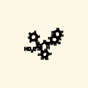 O=C(O)[C@H]1[C@H](c2ccccc2)[C@@H](CNc2ccc3ccccc3c2)[C@H]1c1ccccc1